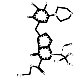 CCOC(=O)c1cn([C@H](CO)C(C)(C)C)c2ccc(Cc3cc(N4CCOCC4)c(F)c(Cl)c3F)cc2c1=O